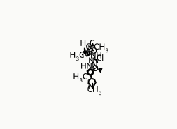 Cc1cc(Nc2ncc(Cl)c(Nc3cn(C)nc3S(=O)(=O)C(C)C)n2)c(OC2CC2)cc1C1CCCN(C)CC1